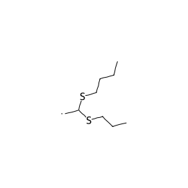 [CH2]C(SCCC)SCCCC